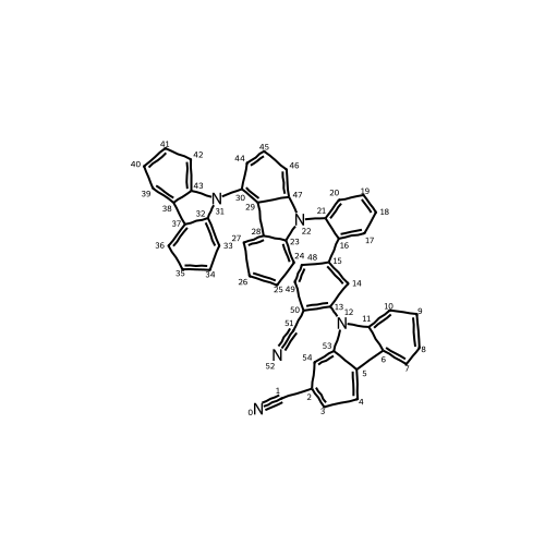 N#Cc1ccc2c3ccccc3n(-c3cc(-c4ccccc4-n4c5ccccc5c5c(-n6c7ccccc7c7ccccc76)cccc54)ccc3C#N)c2c1